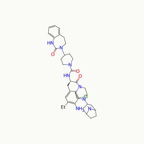 CCc1cc(C[C@@H](NC(=O)N2CCC(N3CCc4ccccc4NC3=O)CC2)C(=O)N2CCN(C3CC4CCC(C3)N4C)CC2)cc(Cl)c1N